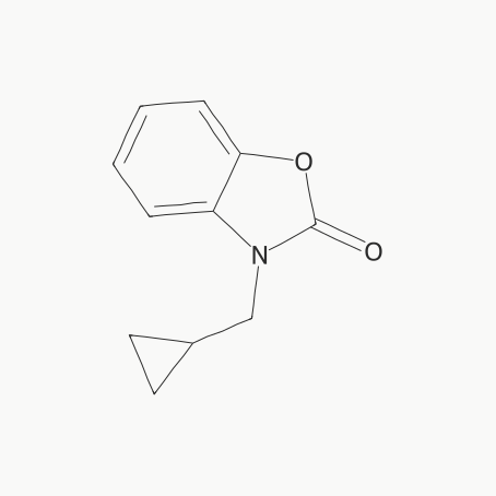 O=c1oc2ccccc2n1CC1CC1